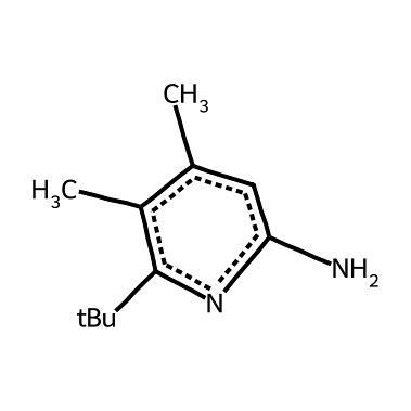 Cc1cc(N)nc(C(C)(C)C)c1C